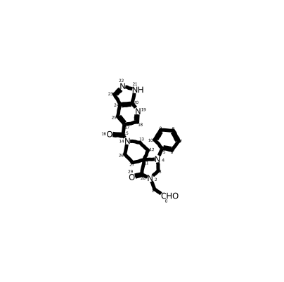 O=CCN1CN(c2ccccc2)C2(CCN(C(=O)c3cnc4[nH]ncc4c3)CC2)C1=O